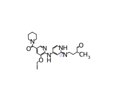 CC(C=O)CC/N=c1/cc(Nc2ncc(C(=O)N3CCCCC3)cc2OCI)cc[nH]1